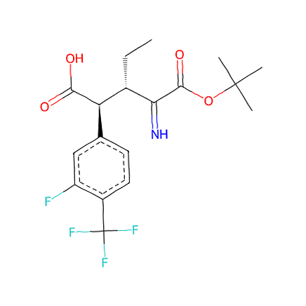 CC[C@H](C(=N)C(=O)OC(C)(C)C)[C@H](C(=O)O)c1ccc(C(F)(F)F)c(F)c1